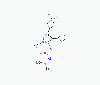 CC(NC(=O)Nc1c(C2CCC2)c(C2CC(F)(F)C2)nn1C)C(F)(F)F